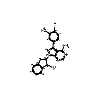 Nc1ncnc2c1c(-c1ccc(Cl)c(O)c1)nn2C1Cc2ccccc2C1O